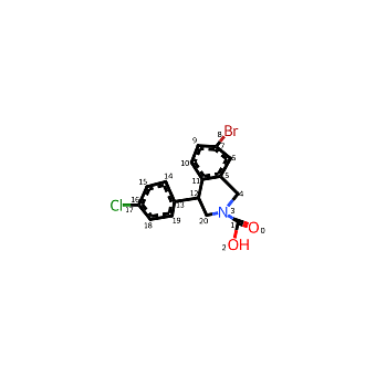 O=C(O)N1Cc2cc(Br)ccc2C(c2ccc(Cl)cc2)C1